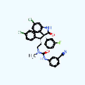 CN(CC[C@H](c1ccc(Cl)cc1)[C@]1(c2cccc(F)c2)C(=O)Nc2cc(Cl)ccc21)C(=O)Nc1cccc(C#N)c1